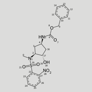 CN([C@H]1C[C@@H](NC(=O)OCc2ccccc2)C[C@@H]1O)S(=O)(=O)c1ccccc1[N+](=O)[O-]